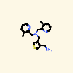 Cc1cccnc1CN(Cc1cscc1CN)Cc1ncccc1C